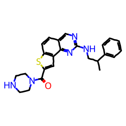 CC(CNc1ncc2ccc3sc(C(=O)N4CCNCC4)cc3c2n1)c1ccccc1